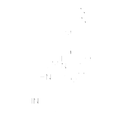 CCCC(=O)N[C@@H](Cc1c[nH]c2ccccc12)C(=O)N[C@@H](CCC(=O)C=[N+]=[N-])C(=O)OC(C)C